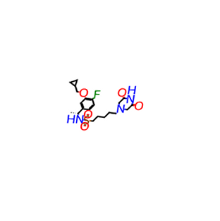 C[C@@H](NS(=O)(=O)CCCCCN1CC(=O)NC(=O)C1)c1ccc(F)c(OCC2CC2)c1